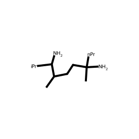 CCCC(C)(N)CCC(C)C(N)C(C)C